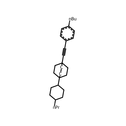 CCCCc1ccc(C#CC23CCC(C4CCC(CCC)CC4)(CC2)CC3)cc1